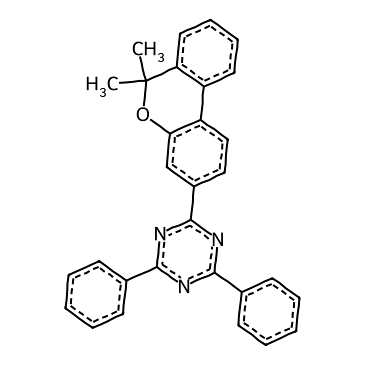 CC1(C)Oc2cc(-c3nc(-c4ccccc4)nc(-c4ccccc4)n3)ccc2-c2ccccc21